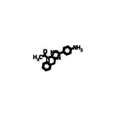 CC(=O)Nc1ncc(-c2ccc(N)cc2)nc1Cc1ccccc1